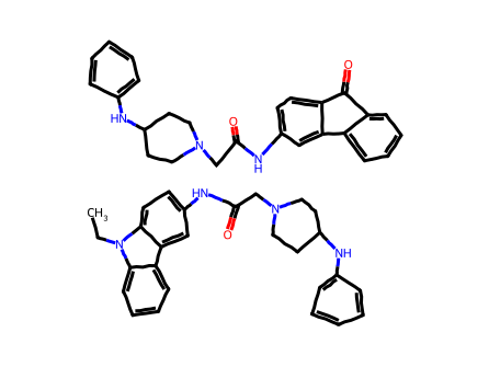 CCn1c2ccccc2c2cc(NC(=O)CN3CCC(Nc4ccccc4)CC3)ccc21.O=C(CN1CCC(Nc2ccccc2)CC1)Nc1ccc2c(c1)-c1ccccc1C2=O